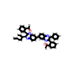 C=C/C=C\C(=C/C)c1nc2ccc(-c3ccc4nc(-c5ccccc5)c(-c5ccccc5C(C)=O)nc4c3)cc2nc1-c1ccccc1C(C)=O